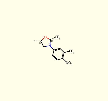 [CH][C@H]1CN(c2ccc([N+](=O)[O-])c(C(F)(F)F)c2)[C@@H](C(F)(F)F)O1